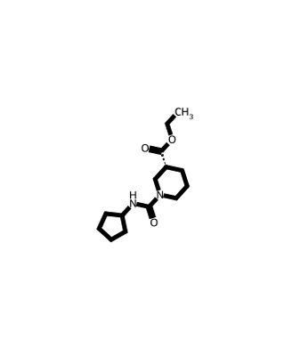 CCOC(=O)[C@@H]1CCCN(C(=O)NC2CCCC2)C1